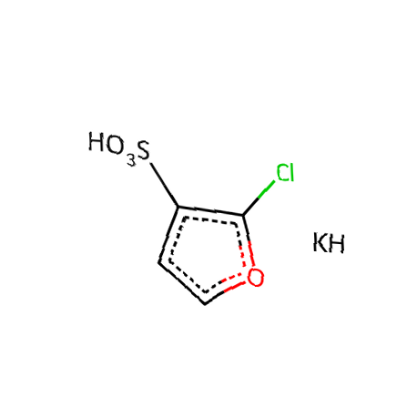 O=S(=O)(O)c1ccoc1Cl.[KH]